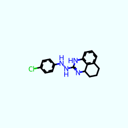 Clc1ccc(NNC2=NC3CCCc4cccc(c43)N2)cc1